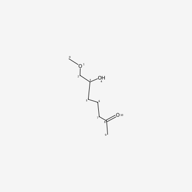 COCC(O)CCCC(C)=O